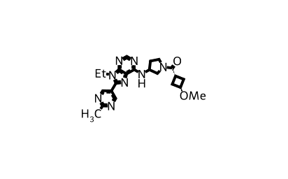 CCn1c(-c2cnc(C)nc2)nc2c(NC3CCN(C(=O)[C@H]4C[C@@H](OC)C4)C3)ncnc21